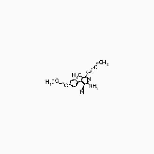 CCOCCSc1nc(N)c(C#N)c(-c2ccc(OCCOC)cc2)c1C